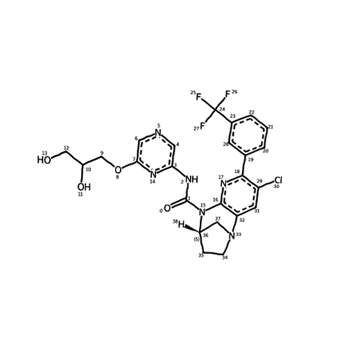 O=C(Nc1cncc(OCC(O)CO)n1)N1c2nc(-c3cccc(C(F)(F)F)c3)c(Cl)cc2N2CC[C@H]1C2